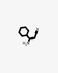 N#C/C=C(/N)C1CCCCC1